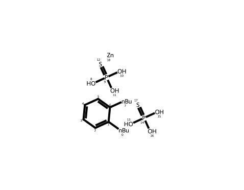 CCCCc1ccccc1CCCC.OP(O)(O)=S.OP(O)(O)=S.[Zn]